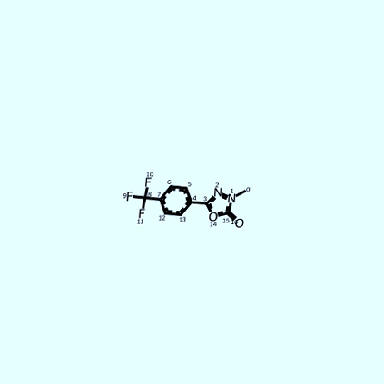 Cn1nc(-c2ccc(C(F)(F)F)cc2)oc1=O